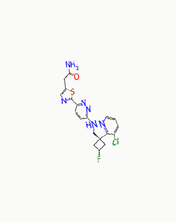 NC(=O)Cc1cnc(-c2ccc(NC[C@]3(c4ncccc4Cl)C[C@H](F)C3)nn2)s1